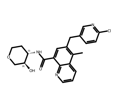 Cc1c(Cc2ccc(Cl)nc2)cc(C(=O)N[C@H]2CCOC[C@@H]2O)c2ncccc12